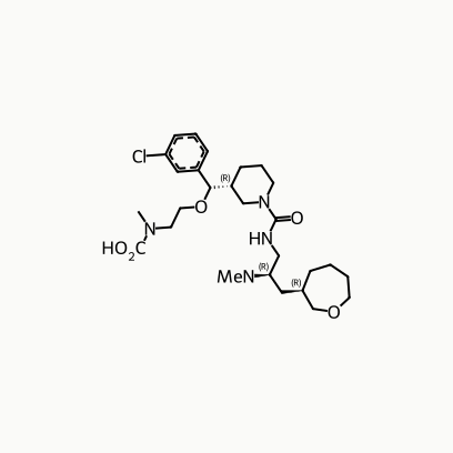 CN[C@@H](CNC(=O)N1CCC[C@@H](C(OCCN(C)C(=O)O)c2cccc(Cl)c2)C1)C[C@H]1CCCCOC1